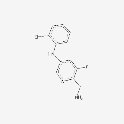 NCc1ncc(Nc2ccccc2Cl)cc1F